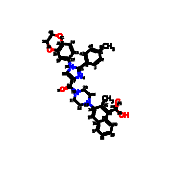 Cc1ccc(-c2nc(C(=O)N3CCN(c4cc5ccccc5c(C(=O)O)c4C)CC3)cn2-c2ccc3c(c2)OCCO3)cc1